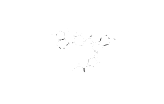 C[C@@H]1C[C@@H](O)c2ncnc(N3CCN(C(=O)C(CNC4CCN(C(=O)CI)C4)c4ccc(Cl)cc4)CC3)c21